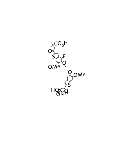 COc1cc2sc(C(=O)CP(=O)(O)O)cc2cc1OCCCOc1c(OC)cc2sc(C(=O)CC(C)(C)C(=O)O)cc2c1F